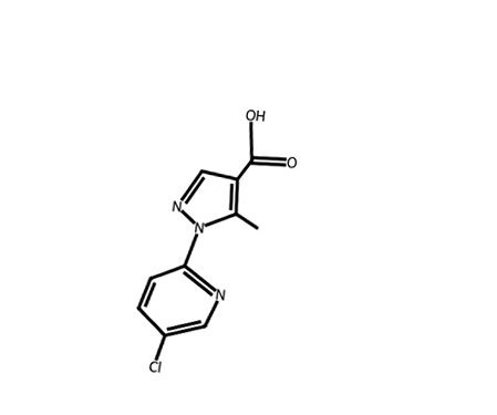 Cc1c(C(=O)O)cnn1-c1ccc(Cl)cn1